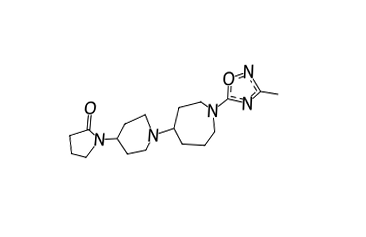 Cc1noc(N2CCCC(N3CCC(N4CCCC4=O)CC3)CC2)n1